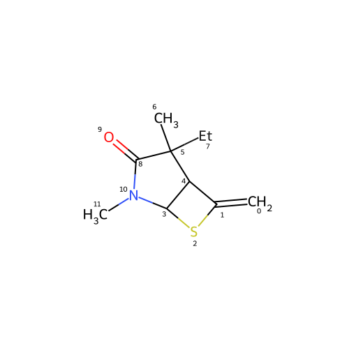 C=C1SC2C1C(C)(CC)C(=O)N2C